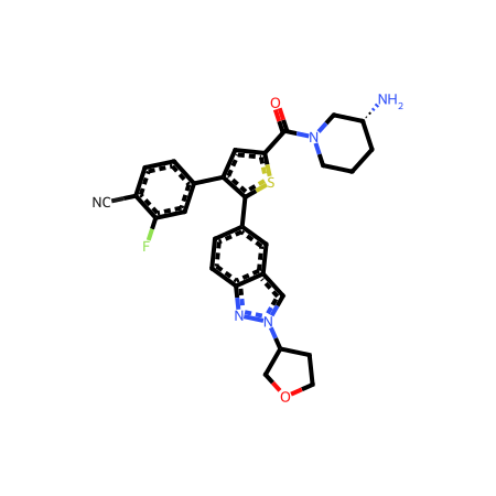 N#Cc1ccc(-c2cc(C(=O)N3CCC[C@@H](N)C3)sc2-c2ccc3nn(C4CCOC4)cc3c2)cc1F